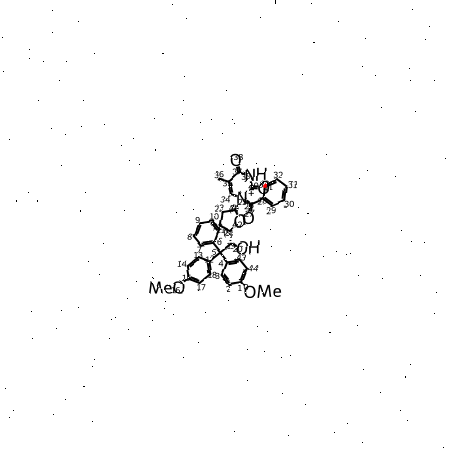 COc1ccc(C(c2ccccc2)(c2ccc(OC)cc2)C(O)[C@@H]2CC[C@H]([N+]3(C(=O)c4ccccc4)C=C(C)C(=O)NC3=O)O2)cc1